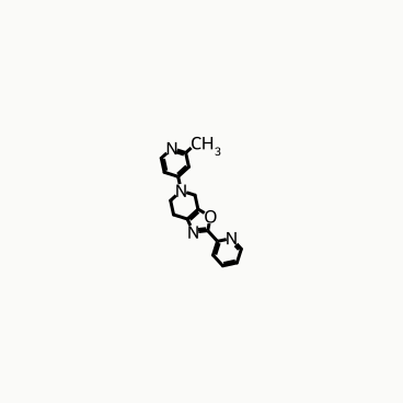 Cc1cc(N2CCc3nc(-c4ccccn4)oc3C2)ccn1